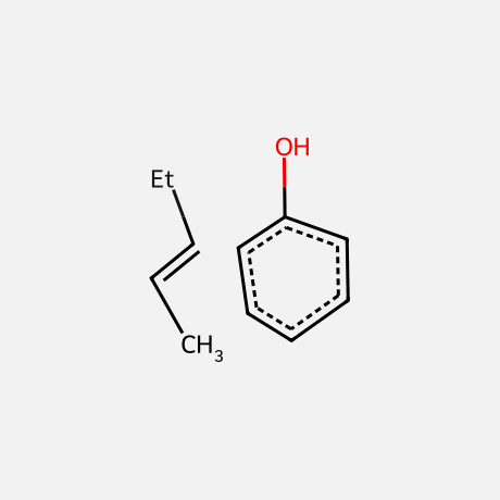 CC=CCC.Oc1ccccc1